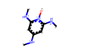 CNc1cc(NC)[n+]([O-])c(NC)c1